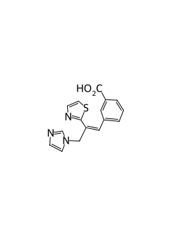 O=C(O)c1cccc(C=C(Cn2ccnc2)c2nccs2)c1